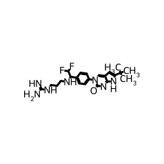 CC(C)(C)c1cc2cn(-c3ccc(C(NCCCNC(=N)N)C(F)F)cc3)c(=O)nc2[nH]1